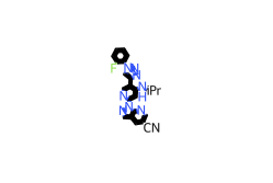 CC(C)Nc1cc(-n2ncc3cc(C#N)cnc32)ncc1-c1cn(-c2ccccc2F)nn1